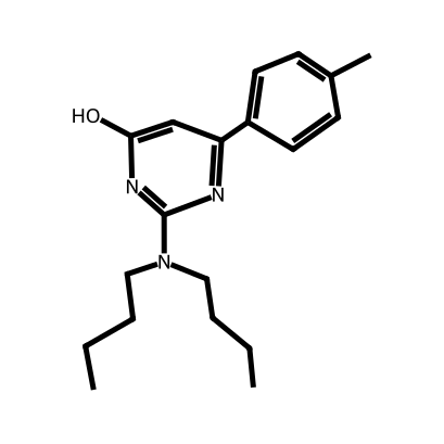 CCCCN(CCCC)c1nc(O)cc(-c2ccc(C)cc2)n1